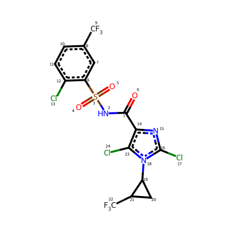 O=C(NS(=O)(=O)c1cc(C(F)(F)F)ccc1Cl)c1nc(Cl)n(C2CC2C(F)(F)F)c1Cl